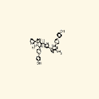 CCOc1ncccc1-n1cnc2c(Nc3ncc(-n4cnc5c(N)nc(N6CCN(c7ccc(O)cc7)CC6)nc54)cn3)nc(N3CCN(c4ccc(O)cc4)CC3)nc21